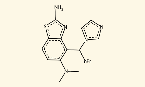 CCCC(c1c(N(C)C)ccc2sc(N)nc12)n1ccnc1